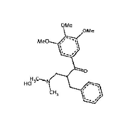 COc1cc(C(=O)C(Cc2ccccc2)CN(C)C)cc(OC)c1OC.Cl